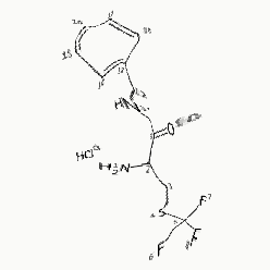 Cl.NC(CSC(F)(F)F)C(=O)NCc1ccccc1